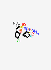 CC(=Cc1ccc(Cl)cc1)S(=O)(=O)Nc1cccc(F)c1S(N)(=O)=O